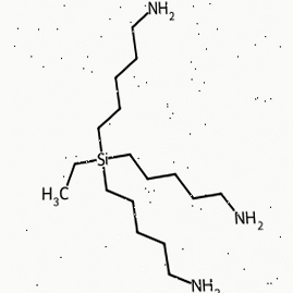 CC[Si](CCCCCN)(CCCCCN)CCCCCN